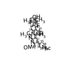 COc1nc2nc(C)nc(NC(C)c3cccc(C(F)(F)C(C)(C)O)c3F)c2cc1C1=CCN(C(C)=O)CC1